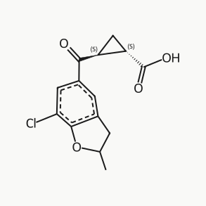 CC1Cc2cc(C(=O)[C@H]3C[C@@H]3C(=O)O)cc(Cl)c2O1